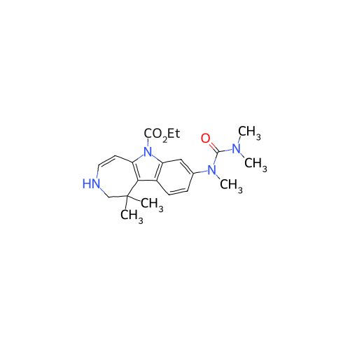 CCOC(=O)n1c2c(c3ccc(N(C)C(=O)N(C)C)cc31)C(C)(C)CNC=C2